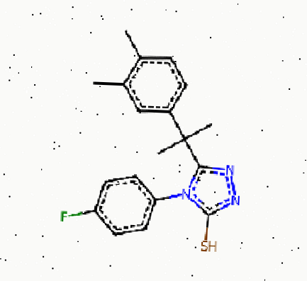 Cc1ccc(C(C)(C)c2nnc(S)n2-c2ccc(F)cc2)cc1C